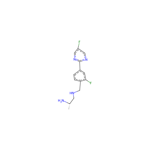 C[C@H](N)CNCc1ccc(-c2ncc(F)cn2)cc1F